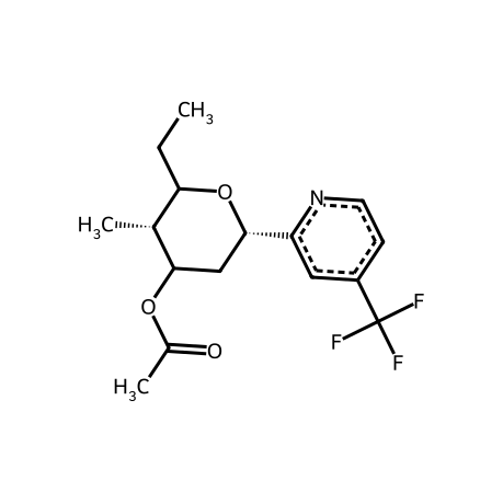 CCC1O[C@H](c2cc(C(F)(F)F)ccn2)CC(OC(C)=O)[C@@H]1C